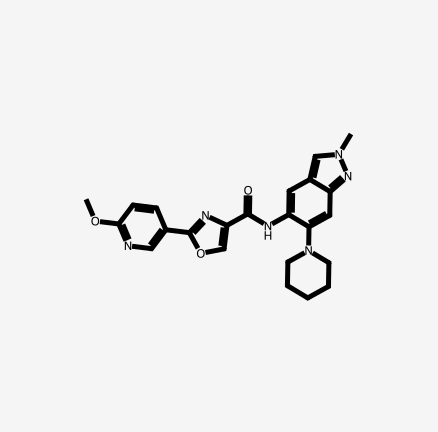 COc1ccc(-c2nc(C(=O)Nc3cc4cn(C)nc4cc3N3CCCCC3)co2)cn1